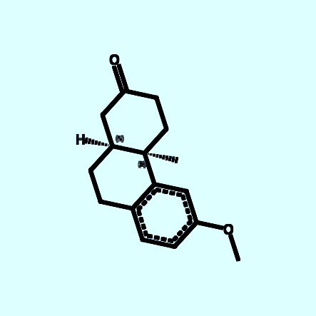 COc1ccc2c(c1)[C@]1(C)CCC(=O)C[C@@H]1CC2